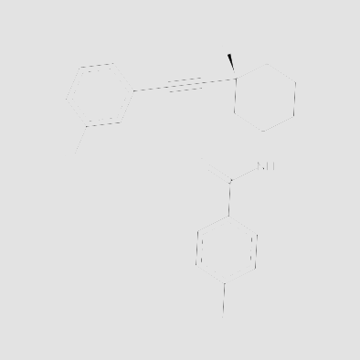 Cc1ccc(C(=O)N[C@H]2CCC[C@@](O)(C#Cc3cccc(Cl)c3)C2)cc1